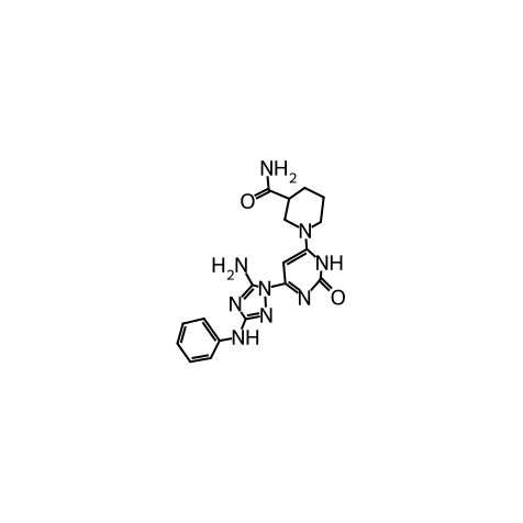 NC(=O)C1CCCN(c2cc(-n3nc(Nc4ccccc4)nc3N)nc(=O)[nH]2)C1